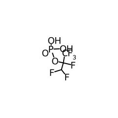 O=P(O)(O)OC(F)(C(F)F)C(F)(F)F